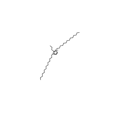 CCCCCCCCCCCCCCn1cc[n+](CCCCCCCCCCCCCC)c1CCC